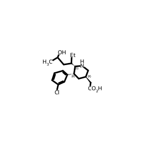 CCC(CC(C)O)[C@@H]1NC[C@@H](CC(=O)O)C[C@@H]1c1cccc(Cl)c1